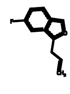 C=CCc1occ2ccc(F)cc12